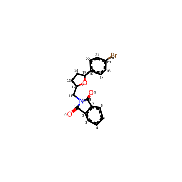 O=C1c2ccccc2C(=O)N1CC1CCC(c2ccc(Br)cc2)O1